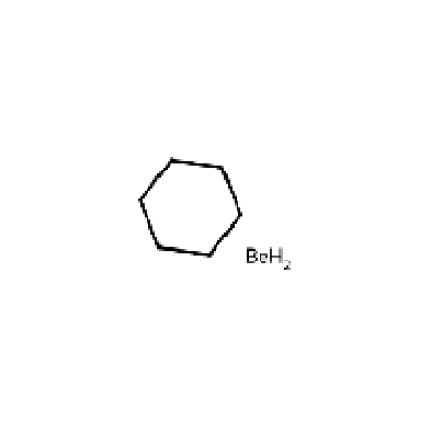 C1CCCCC1.[BeH2]